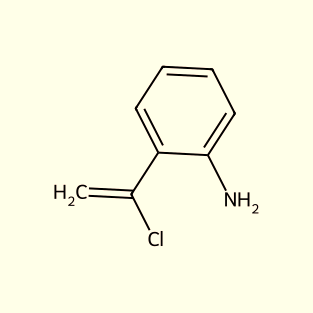 C=C(Cl)c1ccccc1N